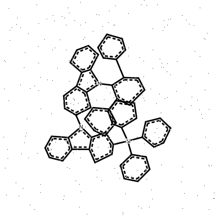 c1ccc(-c2cccc(-c3ccccc3)c2-n2c3ccccc3c3ccc(-n4c5ccccc5c5ccc([Si](c6ccccc6)(c6ccccc6)c6ccccc6)cc54)cc32)cc1